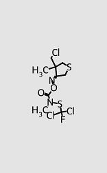 CN(SC(F)(Cl)Cl)C(=O)ON=C1CSCC1(C)CCl